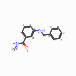 CC(C)NC(=O)c1cccc(NCc2ccccc2)c1